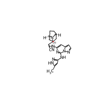 Cc1cc(Nc2nc(N[C@@H]3C[C@H]4CC[C@@H](C3)N4CCC#N)cc3ccnn23)n[nH]1